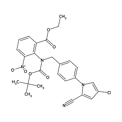 CCOC(=O)c1cccc([N+](=O)[O-])c1N(Cc1ccc(-n2cc(Cl)cc2C#N)cc1)C(=O)OC(C)(C)C